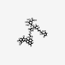 CC[C@@]1(O)C(=O)OCc2c1cc1n(c2=O)Cc2c-1nc1cc(F)c(C)c3c1c2[C@@H](NC(=O)COCNC(=O)[C@H](CO[C@@H]1O[C@H](C(=O)O)[C@@H](O)[C@H](O)[C@H]1O)NC(=O)[C@@H](NC(=O)CCNC(=O)CN1C(=O)C=CC1=O)C(C)C)CC3